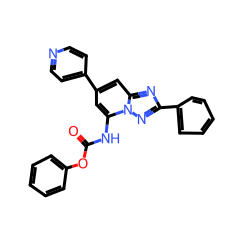 O=C(Nc1cc(-c2ccncc2)cc2nc(-c3ccccc3)nn12)Oc1ccccc1